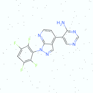 Nc1ncncc1-c1ccnc2c1cnn2-c1c(F)c(F)cc(F)c1F